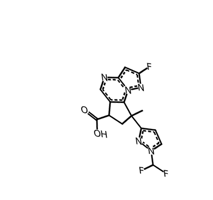 CC1(c2ccn(C(F)F)n2)CC(C(=O)O)c2cnc3cc(F)nn3c21